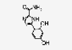 NC(=O)c1nnc(-c2ccc(O)cc2O)[nH]1